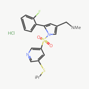 CNCc1cc(-c2ccccc2F)n(S(=O)(=O)c2cncc(SC(C)C)c2)c1.Cl